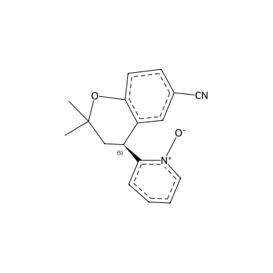 CC1(C)C[C@H](c2cccc[n+]2[O-])c2cc(C#N)ccc2O1